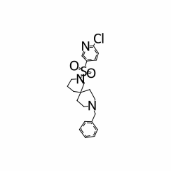 O=S(=O)(c1ccc(Cl)nc1)N1CCCC2(CCN(Cc3ccccc3)CC2)C1